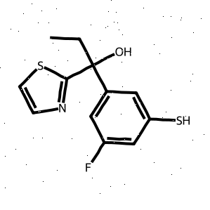 CCC(O)(c1cc(F)cc(S)c1)c1nccs1